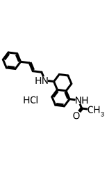 CC(=O)Nc1cccc2c1CCCC2NC/C=C/c1ccccc1.Cl